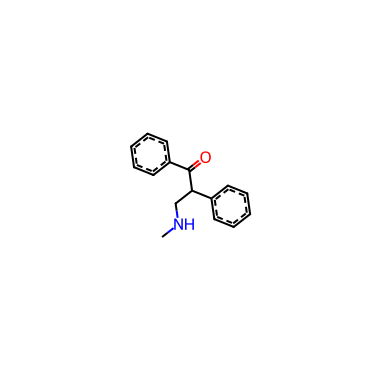 CNCC(C(=O)c1ccccc1)c1ccccc1